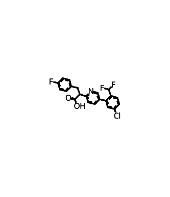 O=C(O)C(Cc1ccc(F)cc1)c1ccc(-c2cc(Cl)ccc2C(F)F)cn1